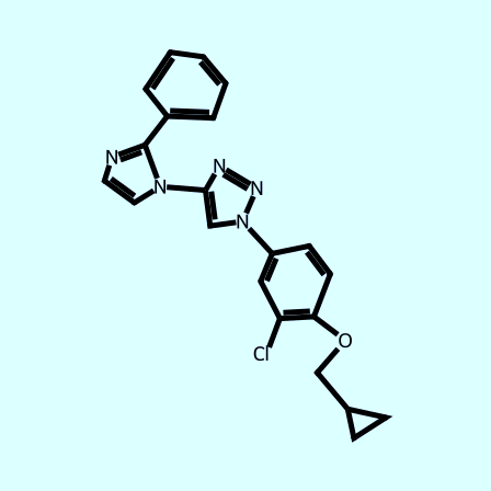 Clc1cc(-n2cc(-n3ccnc3-c3ccccc3)nn2)ccc1OCC1CC1